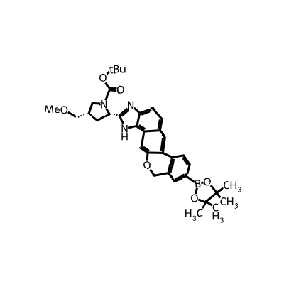 COC[C@H]1C[C@@H](c2nc3ccc4cc5c(cc4c3[nH]2)OCc2cc(B3OC(C)(C)C(C)(C)O3)ccc2-5)N(C(=O)OC(C)(C)C)C1